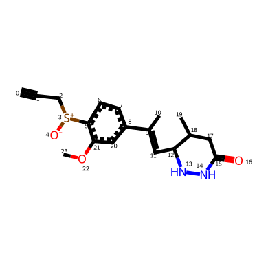 C#CC[S+]([O-])c1ccc(/C(C)=C/C2NNC(=O)CC2C)cc1OC